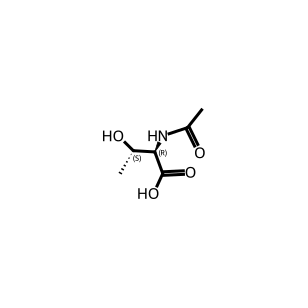 CC(=O)N[C@@H](C(=O)O)[C@H](C)O